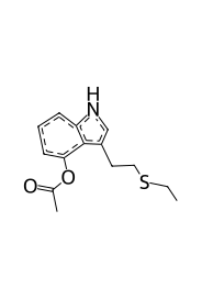 CCSCCc1c[nH]c2cccc(OC(C)=O)c12